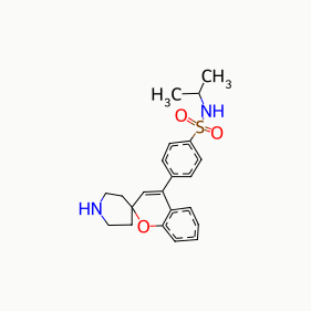 CC(C)NS(=O)(=O)c1ccc(C2=CC3(CCNCC3)Oc3ccccc32)cc1